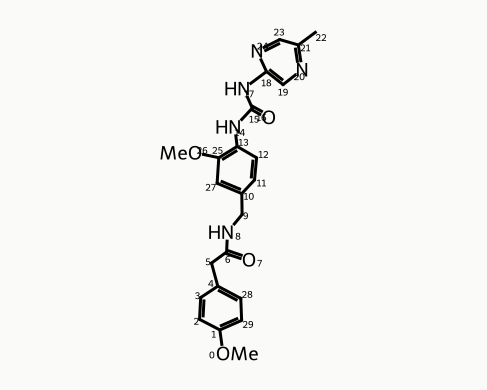 COc1ccc(CC(=O)NCc2ccc(NC(=O)Nc3cnc(C)cn3)c(OC)c2)cc1